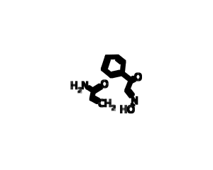 C=CC(N)=O.O=C(C=NO)c1ccccc1